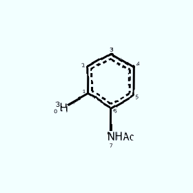 [3H]c1ccccc1NC(C)=O